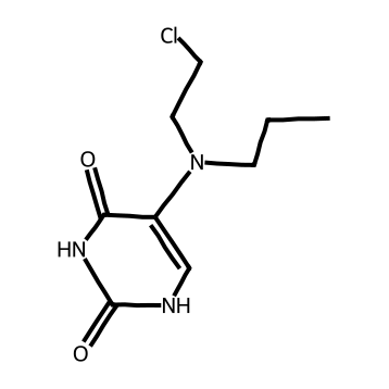 CCCN(CCCl)c1c[nH]c(=O)[nH]c1=O